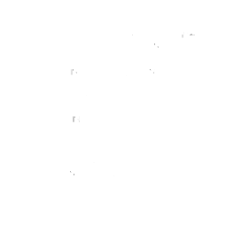 C=CCNC(=O)c1cc2c3nn(CCCCC)c(=O)c-3c[nH]c2[nH]1